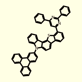 c1ccc(-c2cc(-c3cccc4c3sc3c4ccc4c3c3ccccc3n4-c3ccc4c5ccccc5c5ccccc5c4c3)nc(-c3ccccc3)n2)cc1